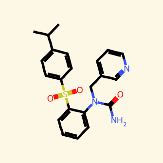 CC(C)c1ccc(S(=O)(=O)c2ccccc2N(Cc2cccnc2)C(N)=O)cc1